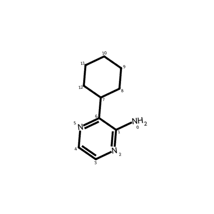 Nc1nccnc1C1CCCCC1